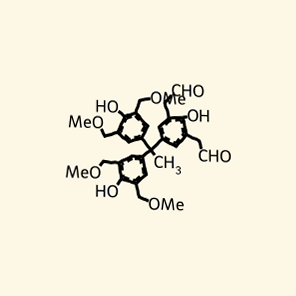 COCc1cc(C(C)(c2cc(CC=O)c(O)c(CC=O)c2)c2cc(COC)c(O)c(COC)c2)cc(COC)c1O